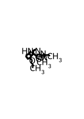 CCCOc1cccc2[nH]c3cnc(-c4nc(CC)no4)c(COC)c3c12